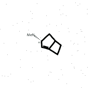 CN[C@H]1C=C2CCC2C1